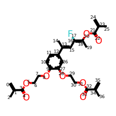 C=C(C)C(=O)OCCOc1ccc(/C(C)=C/C(F)=C(\C)OC(=O)C(=C)C)cc1OCCOC(=O)C(=C)C